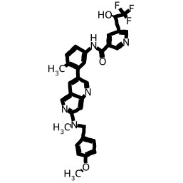 COc1ccc(CN(C)c2cc3ncc(-c4cc(NC(=O)c5cncc([C@H](O)C(F)(F)F)c5)ccc4C)cc3cn2)cc1